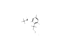 Cc1cc(C)c(C(C)(C)CCO)c(OC(=O)C(C)(C)C)c1